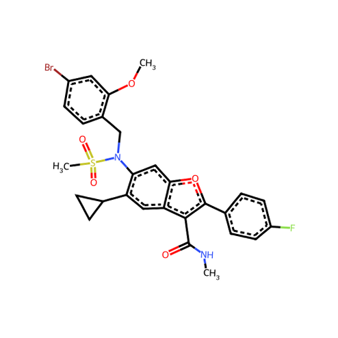 CNC(=O)c1c(-c2ccc(F)cc2)oc2cc(N(Cc3ccc(Br)cc3OC)S(C)(=O)=O)c(C3CC3)cc12